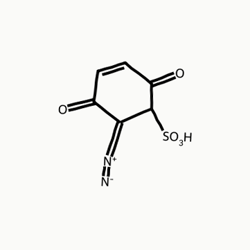 [N-]=[N+]=C1C(=O)C=CC(=O)C1S(=O)(=O)O